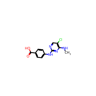 CNc1nc(Nc2ccc(C(=O)O)cc2)ncc1Cl